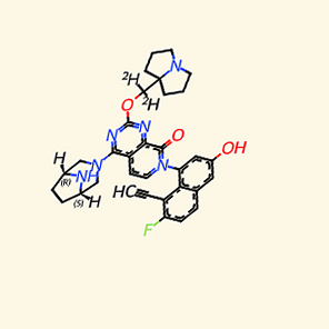 [2H]C([2H])(Oc1nc(N2C[C@H]3CC[C@@H](C2)N3)c2ccn(-c3cc(O)cc4ccc(F)c(C#C)c34)c(=O)c2n1)C12CCCN1CCC2